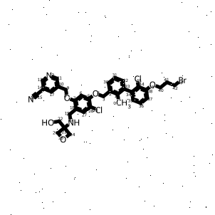 Cc1c(COc2cc(OCc3cncc(C#N)c3)c(CNC3(CO)COC3)cc2Cl)cccc1-c1cccc(OCCCBr)c1Cl